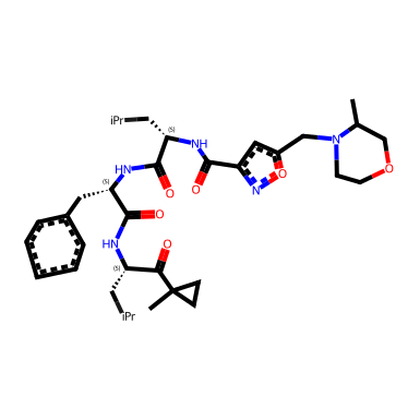 CC(C)C[C@H](NC(=O)c1cc(CN2CCOCC2C)on1)C(=O)N[C@@H](Cc1ccccc1)C(=O)N[C@@H](CC(C)C)C(=O)C1(C)CC1